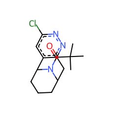 CC(C)(C)C(=O)N1C2CCCC1c1cc(Cl)nnc1C2